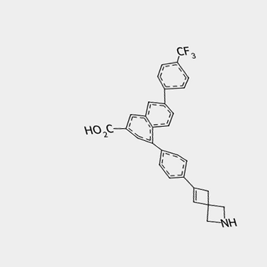 O=C(O)c1cc(-c2ccc(C3=CC4(CNC4)C3)cc2)c2ccc(-c3ccc(C(F)(F)F)cc3)cc2c1